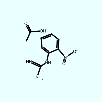 CC(=O)O.N=C(N)Nc1ccccc1[N+](=O)[O-]